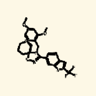 COc1ccc(CN2C(c3ccc4cc(C(F)(F)F)sc4c3)=NOC23CN2CCC3CC2)c(OC)c1